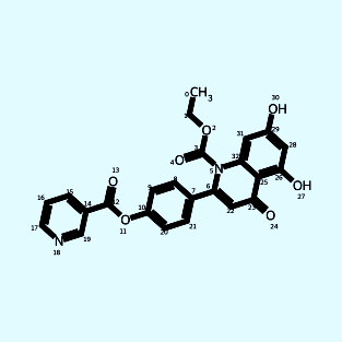 CCOC(=O)n1c(-c2ccc(OC(=O)c3cccnc3)cc2)cc(=O)c2c(O)cc(O)cc21